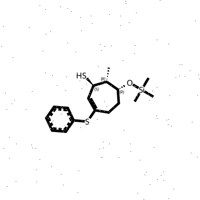 C[C@H]1[C@H](S)C=C(Sc2ccccc2)CC[C@H]1O[Si](C)(C)C